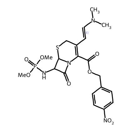 COP(=O)(NC1C(=O)N2C(C(=O)OCc3ccc([N+](=O)[O-])cc3)=C(/C=C/N(C)C)CSC12)OC